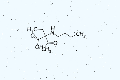 CCCCNC(CC)(C(C)=O)C(=O)O